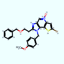 COc1ccc(Cn2c(CCOCc3ccccc3)nc3c[n+]([O-])c4cc(Br)sc4c32)cc1